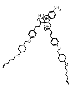 C=CCCCCOC1CCC(COc2ccc(C=CC(=O)CC(c3ccc(N)cc3N)C(O)(O)C(=O)C=Cc3ccc(OCC4CCC(OCCCCC=C)CC4)cc3)cc2)CC1